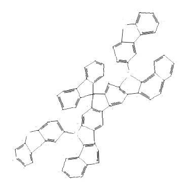 c1ccc2c(c1)-c1ccccc1C21c2cc3c(cc2-c2cc4c5ccc6ccccc6c5n(-c5ccc6oc7ccccc7c6c5)c4cc21)c1ccc2ccccc2c1n3-c1ccc2oc3ccccc3c2c1